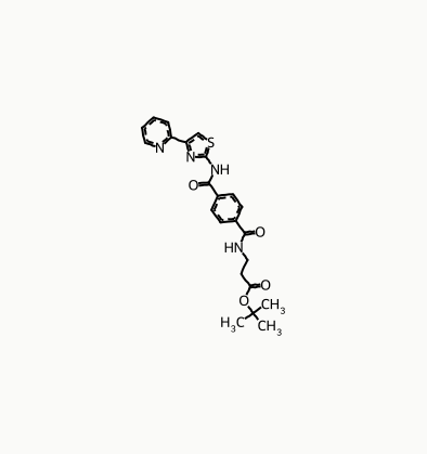 CC(C)(C)OC(=O)CCNC(=O)c1ccc(C(=O)Nc2nc(-c3ccccn3)cs2)cc1